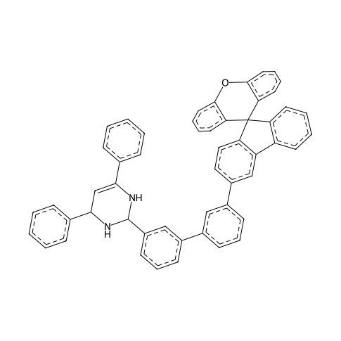 C1=C(c2ccccc2)NC(c2cccc(-c3cccc(-c4ccc5c(c4)-c4ccccc4C54c5ccccc5Oc5ccccc54)c3)c2)NC1c1ccccc1